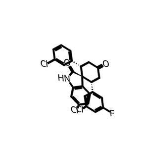 O=C1C[C@H](c2cc(F)cc(Cl)c2)[C@@]2(C(=O)Nc3cc(Cl)ccc32)[C@H](c2cccc(Cl)c2)C1